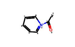 O=[C]([Ir])[n+]1ccccc1